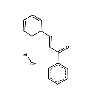 CCO.O=C(C=CC1C=CC=CC1)c1ccccc1